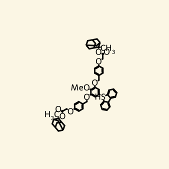 COc1c(OCc2ccc(OCC(=O)OC3(C)C4CC5CC(C4)CC3C5)cc2)cc([SH]2c3ccccc3-c3ccccc32)cc1OCc1ccc(OCC(=O)OC2(C)C3CC4CC(C3)CC2C4)cc1